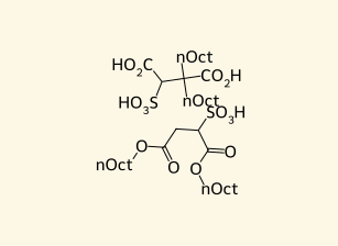 CCCCCCCCC(CCCCCCCC)(C(=O)O)C(C(=O)O)S(=O)(=O)O.CCCCCCCCOC(=O)CC(C(=O)OCCCCCCCC)S(=O)(=O)O